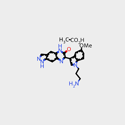 CC(=O)O.COc1ccc2c(c1)c(-c1nc3cc4[nH]ncc4cc3[nH]c1=O)cn2CCCN